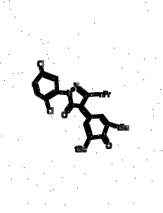 CCCC1=NN(c2cc(Cl)ccc2Cl)C(=O)C1=C1C=C(C(C)(C)C)C(=O)C(C(C)(C)C)=C1